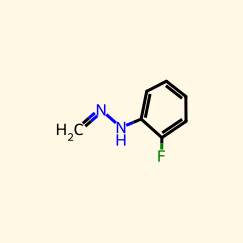 C=NNc1ccccc1F